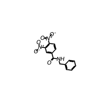 O=C(NCc1ccccc1)c1ccc([N+](=O)[O-])c([N+](=O)[O-])c1